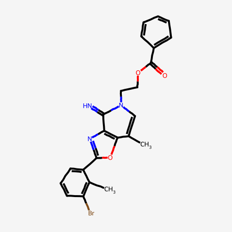 Cc1c(Br)cccc1-c1nc2c(=N)n(CCOC(=O)c3ccccc3)cc(C)c2o1